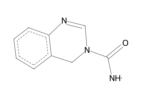 [NH]C(=O)N1C=Nc2ccccc2C1